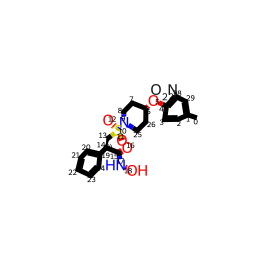 Cc1ccc(OC2CCN(S(=O)(=O)C[C@@H](C(=O)NO)c3ccccc3)CC2)c([N+](=O)[O-])c1